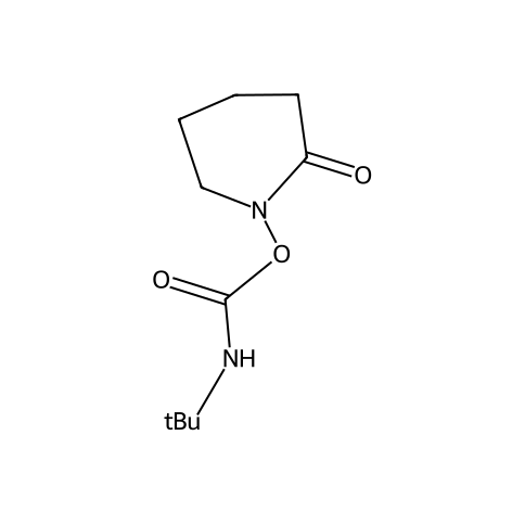 CC(C)(C)NC(=O)ON1CCCCC1=O